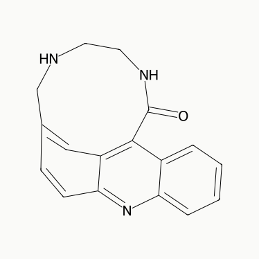 O=C1NCCNCc2ccc3nc4ccccc4c1c3c2